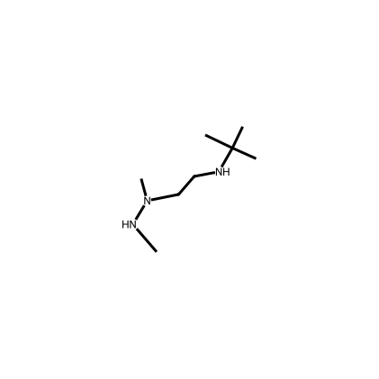 CNN(C)CCNC(C)(C)C